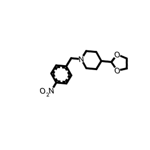 O=[N+]([O-])c1ccc(CN2CCC(C3OCCO3)CC2)cc1